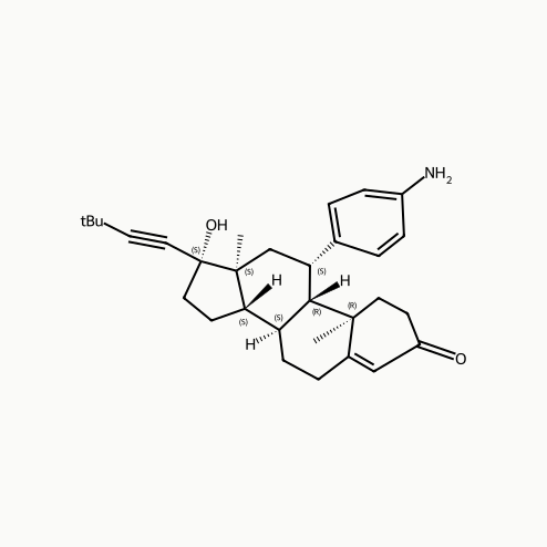 CC(C)(C)C#C[C@]1(O)CC[C@H]2[C@@H]3CCC4=CC(=O)CC[C@]4(C)[C@H]3[C@@H](c3ccc(N)cc3)C[C@@]21C